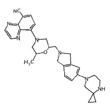 CC1CN(c2ccc(C#N)c3nccnc23)CC(CN2Cc3ccc(N4CCNC5(CC5)C4)cc3C2)O1